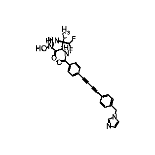 CC(N)(C(F)F)C(NC(=O)c1ccc(C#CC#Cc2ccc(Cn3ccnc3)cc2)cc1)C(=O)NO